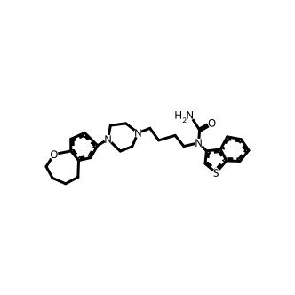 NC(=O)N(CCCCN1CCN(c2ccc3c(c2)CCCCO3)CC1)c1csc2ccccc12